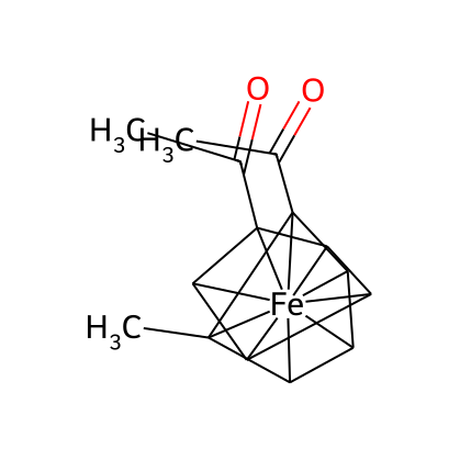 CC(=O)[C]12[CH]3[CH]4[CH]5[CH]1[Fe]45321678[CH]2[CH]1[C]6(C)[C]7(C(C)=O)[CH]28